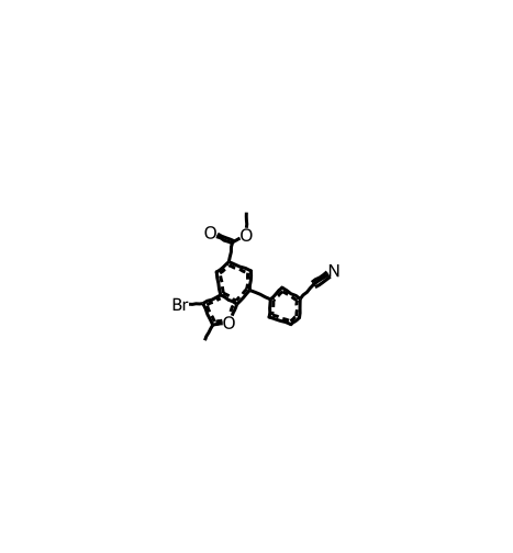 COC(=O)c1cc(-c2cccc(C#N)c2)c2oc(C)c(Br)c2c1